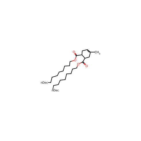 CCCCCCCCCCCCCCCCCCOC(=O)C1CC=C(C)CC1C(=O)OCCCCCCCCCCCCCCCCCC